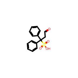 O=CCC(c1ccccc1)(c1ccccc1)S(=O)(=O)O